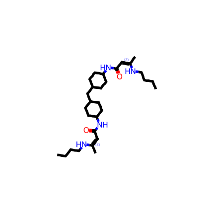 CCCCN/C(C)=C\C(=O)NC1CCC(CC2CCC(NC(=O)/C=C(/C)NCCCC)CC2)CC1